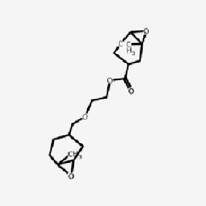 CC12CCC(COCCOC(=O)C3CCC4OC4(C)C3)CC1O2